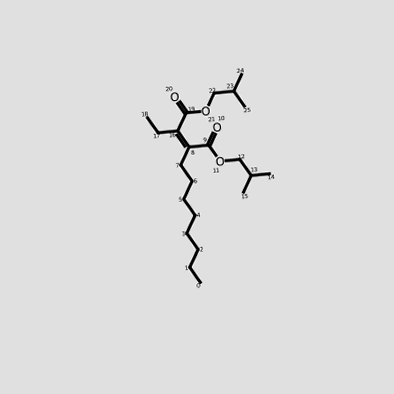 CCCCCCCC/C(C(=O)OCC(C)C)=C(\CC)C(=O)OCC(C)C